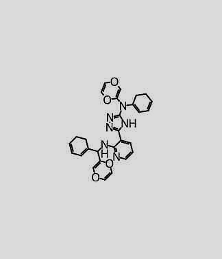 C1=CCCC(C(Nc2ncccc2-c2nnc(N(C3=CC=CCC3)C3=COC=CO3)[nH]2)C2=COC=CO2)=C1